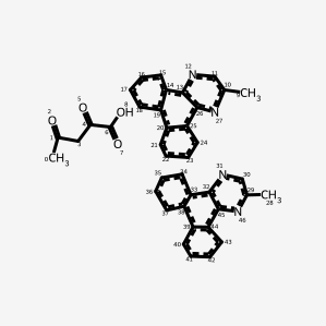 CC(=O)CC(=O)C(=O)O.Cc1cnc2c3ccccc3c3ccccc3c2n1.Cc1cnc2c3ccccc3c3ccccc3c2n1